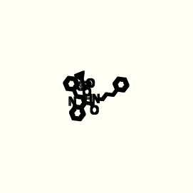 O=C(NCCCc1ccccc1)c1c(OS(=O)(=O)C2CC2)c(-c2ccccc2)nc2ccccc12